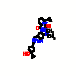 CN(C)C1=CC(=N)/C(=C\[N+]#CC2CCC(O)(C3CC3)CC2)C=C1NC(=O)c1cccc(C2CC2)[n+]1O